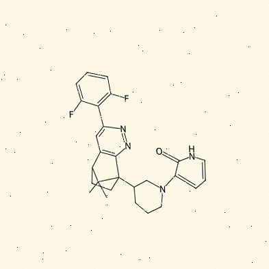 CC1(C)C2CCC1(C1CCCN(c3ccc[nH]c3=O)C1)c1nnc(-c3c(F)cccc3F)cc12